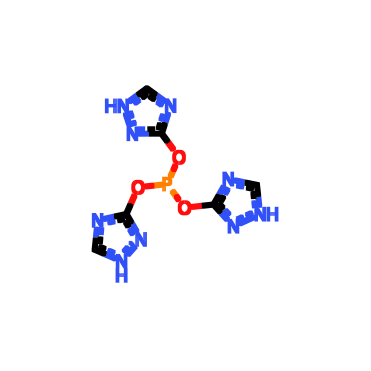 c1nc(OP(Oc2nc[nH]n2)Oc2nc[nH]n2)n[nH]1